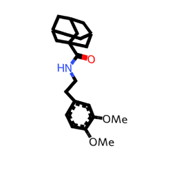 COc1ccc(CCNC(=O)C23CC4CC(CC(C4)C2)C3)cc1OC